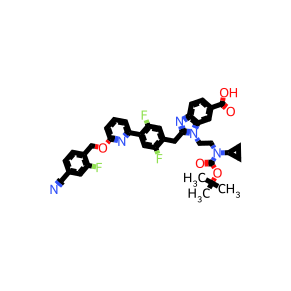 CC(C)(C)OC(=O)N(CCn1c(Cc2cc(F)c(-c3cccc(OCc4ccc(C#N)cc4F)n3)cc2F)nc2ccc(C(=O)O)cc21)C1CC1